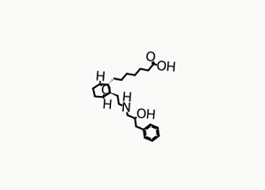 O=C(O)CCCCCC[C@@H]1[C@@H](CCNCC(O)Cc2ccccc2)[C@@H]2CC[C@H]1O2